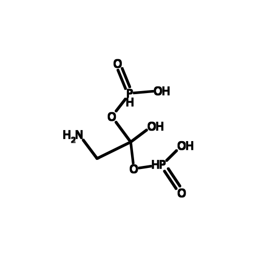 NCC(O)(O[PH](=O)O)O[PH](=O)O